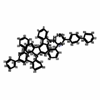 N=C(/N=C(\Nn1c2ccccc2c2c3c4ccccc4n(-c4ccccc4-c4cc(-c5ccccc5)nc(-c5ccccc5)n4)c3ccc21)c1ccccc1)c1ccc(-c2ccccc2)cc1